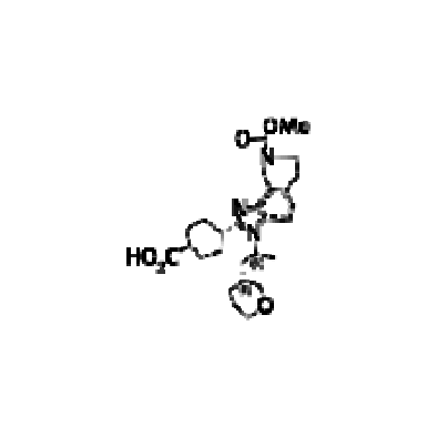 COC(=O)N1CCc2ccc3c(nc([C@H]4CC[C@H](C(=O)O)CC4)n3[C@@H](C)C[C@H]3CCCOC3)c2C1